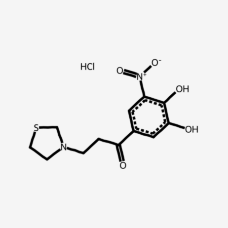 Cl.O=C(CCN1CCSC1)c1cc(O)c(O)c([N+](=O)[O-])c1